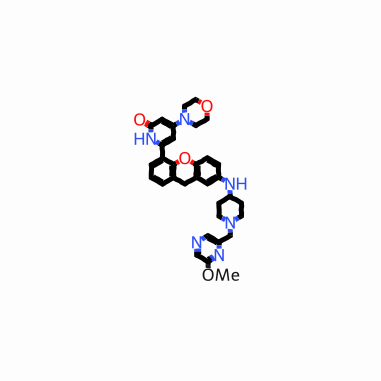 COc1cncc(CN2CCC(Nc3ccc4c(c3)Cc3cccc(-c5cc(N6CCOCC6)cc(=O)[nH]5)c3O4)CC2)n1